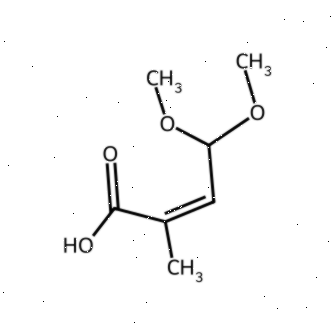 COC(C=C(C)C(=O)O)OC